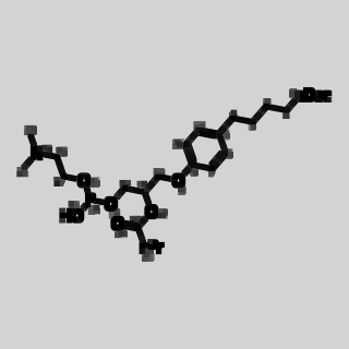 CCCCCCCCCCCCCCc1ccc(OCC(COP(O)OCCN(C)C)OC(=O)CCC)cc1